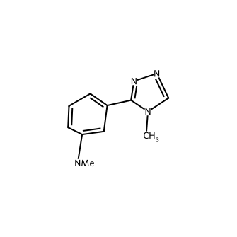 CNc1cccc(-c2nncn2C)c1